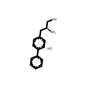 Cl.N[C@H](CO)Cc1ccc(-c2ccccc2)cc1